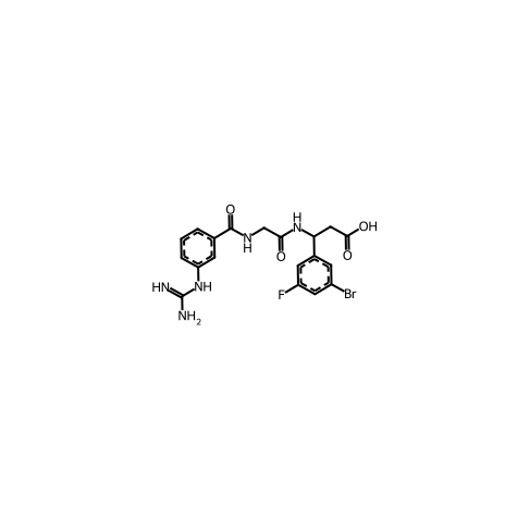 N=C(N)Nc1cccc(C(=O)NCC(=O)NC(CC(=O)O)c2cc(F)cc(Br)c2)c1